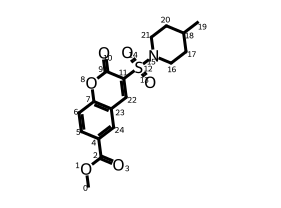 COC(=O)c1ccc2oc(=O)c(S(=O)(=O)N3CCC(C)CC3)cc2c1